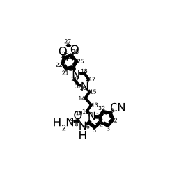 N#Cc1ccc2cc(NC(N)=O)n(CCCCN3CCN(c4ccc5c(c4)OCO5)CC3)c2c1